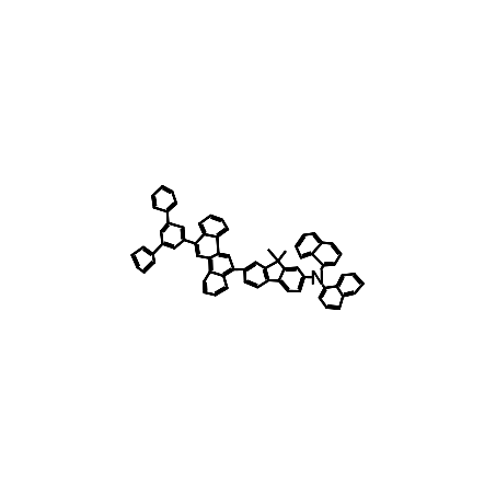 CC1(C)c2cc(-c3cc4c5ccccc5c(-c5cc(-c6ccccc6)cc(-c6ccccc6)c5)cc4c4ccccc34)ccc2-c2ccc(N(c3cccc4ccccc34)c3cccc4ccccc34)cc21